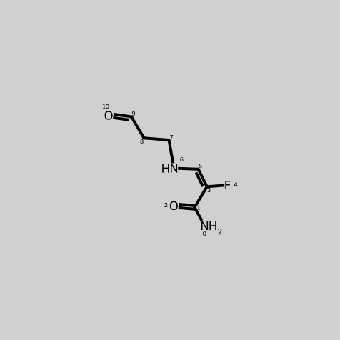 NC(=O)/C(F)=C\NCCC=O